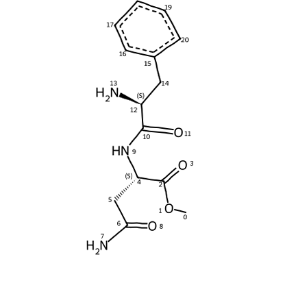 COC(=O)[C@H](CC(N)=O)NC(=O)[C@@H](N)Cc1ccccc1